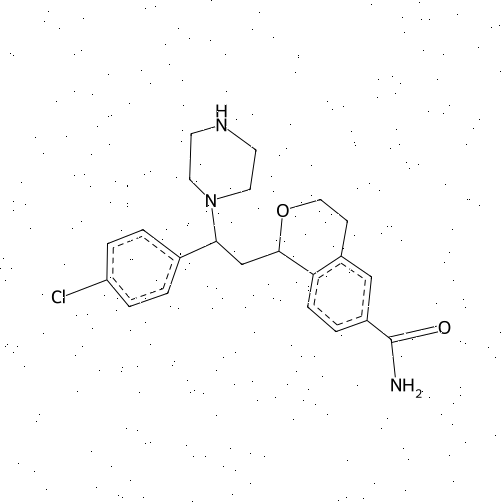 NC(=O)c1ccc2c(c1)CCOC2CC(c1ccc(Cl)cc1)N1CCNCC1